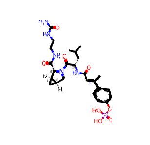 C/C(=C\C(=O)N[C@@H](CC(C)C)C(=O)N1C[C@H]2C[C@H]2[C@H]1C(=O)NCCNC(N)=O)c1ccc(OP(=O)(O)O)cc1